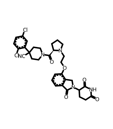 N#CC1(c2cc(Cl)ccc2Cl)CCN(C(=O)[C@H]2CCCN2CCOc2cccc3c2CN(C2CCC(=O)NC2=O)C3=O)CC1